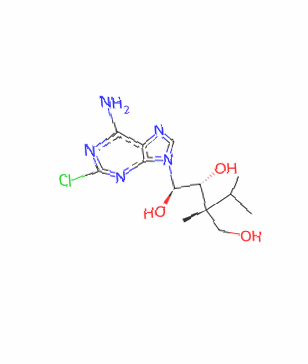 CC(C)[C@](C)(CO)[C@@H](O)[C@@H](O)n1cnc2c(N)nc(Cl)nc21